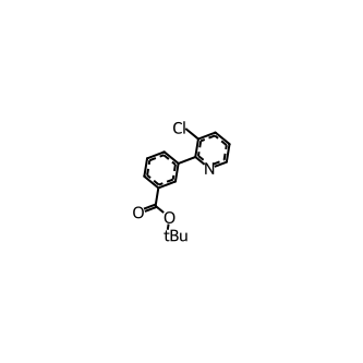 CC(C)(C)OC(=O)c1cccc(-c2ncccc2Cl)c1